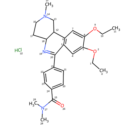 CCOc1cc2c(cc1OCC)C1CN(C)CCC1N=C2c1ccc(C(=O)N(C)C)cc1.Cl